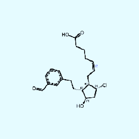 O=Cc1cccc(CC[C@@H]2[C@@H](C/C=C\CCCC(=O)O)[C@H](Cl)C[C@H]2O)c1